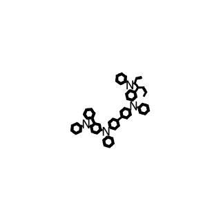 C=CC1C(/C=C\C)c2cc(N(c3ccccc3)c3ccc(-c4ccc(N(c5ccccc5)c5ccc6c(c5)c5ccccc5n6-c5ccccc5)cc4)cc3)ccc2N1c1ccccc1